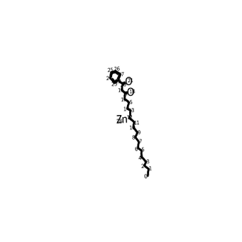 CCCCCCCCCCCCCCCCCC(=O)CC(=O)c1ccccc1.[Zn]